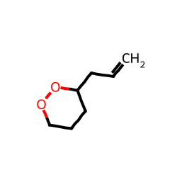 C=CCC1CCCOO1